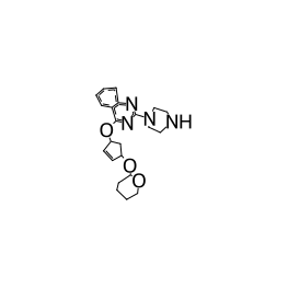 C1=CC(OC2CCCCO2)CC1Oc1nc(N2CCNCC2)nc2ccccc12